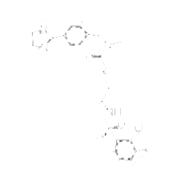 CN(Cc1ccc(C2=NCCN2)cc1)C(=O)COCCNCS(=O)(=O)c1cccc(Cl)c1Cl